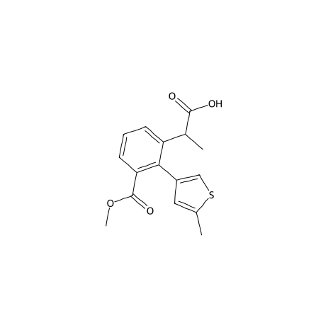 COC(=O)c1cccc(C(C)C(=O)O)c1-c1csc(C)c1